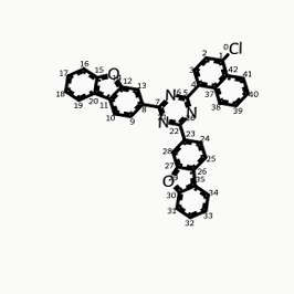 Clc1ccc(-c2nc(-c3ccc4c(c3)oc3ccccc34)nc(-c3ccc4c(c3)oc3ccccc34)n2)c2ccccc12